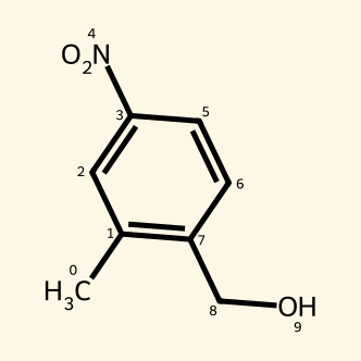 Cc1cc([N+](=O)[O-])ccc1CO